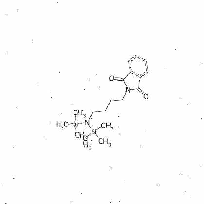 C[Si](C)(C)N(CCCCN1C(=O)c2ccccc2C1=O)[Si](C)(C)C